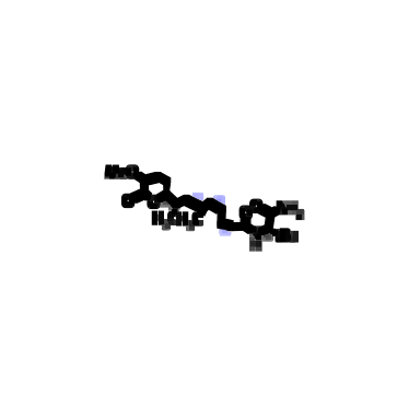 COC1=CC[C@@H]([C@@H](C)/C=C(C)/C=C\C=C/C(=O)N[C@H](C(N)=O)C(C)(C)C)OC1=O